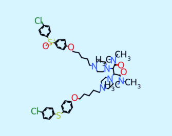 CN(C)C(=O)C(C(C(=O)N(C)C)N1CCN(CCCCCOc2ccc([S+]([O-])c3ccc(Cl)cc3)cc2)CC1)N1CCN(CCCCCOc2ccc(Sc3ccc(Cl)cc3)cc2)CC1